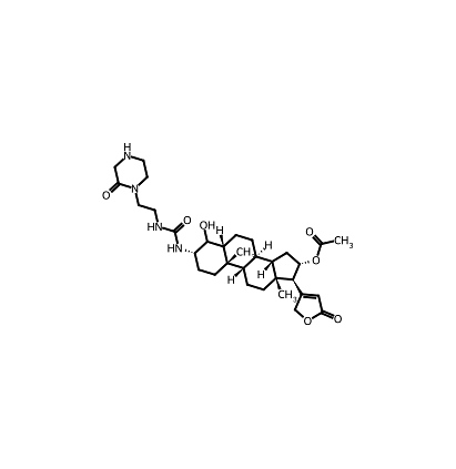 CC(=O)O[C@H]1C[C@H]2[C@@H]3CC[C@H]4C(O)[C@@H](NC(=O)NCCN5CCNCC5=O)CC[C@@]4(C)[C@H]3CC[C@@]2(C)[C@@H]1C1=CC(=O)OC1